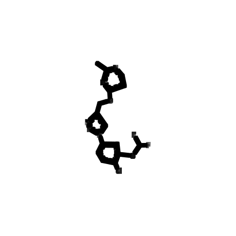 Cc1nccc(OCc2cn(-c3ccc(Cl)c(OC(F)F)c3)nn2)n1